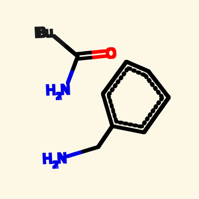 CCC(C)C(N)=O.NCc1ccccc1